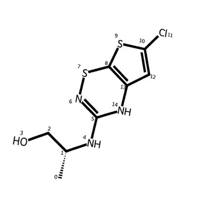 C[C@H](CO)NC1=NSc2sc(Cl)cc2N1